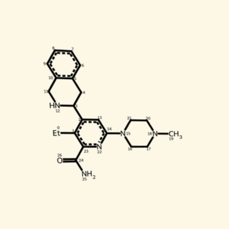 CCc1c(C2Cc3ccccc3CN2)cc(N2CCN(C)CC2)nc1C(N)=O